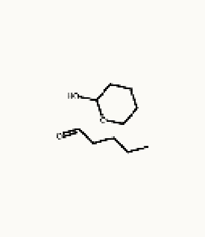 CCCCC=O.OC1CCCCO1